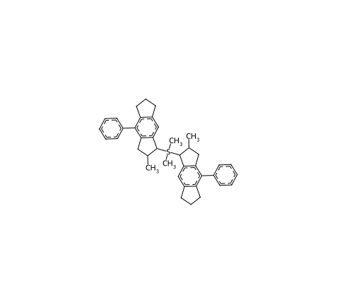 CC1Cc2c(cc3c(c2-c2ccccc2)CCC3)C1S(C)(C)C1c2cc3c(c(-c4ccccc4)c2CC1C)CCC3